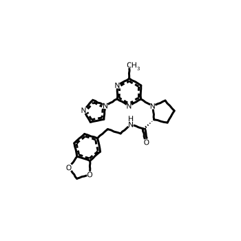 Cc1cc(N2CCC[C@@H]2C(=O)NCCc2ccc3c(c2)OCO3)nc(-n2ccnc2)n1